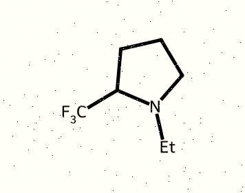 CCN1CCCC1C(F)(F)F